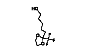 OCCCCCC1(C(F)(F)F)OCCO1